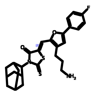 NCCCc1cc(-c2ccc(F)cc2)oc1/C=C1\SC(=S)N(C2C3CC4CC(C3)CC2C4)C1=O